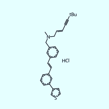 CN(C/C=C/C#CC(C)(C)C)Cc1cccc(/C=C/c2cccc(-c3ccsc3)c2)c1.Cl